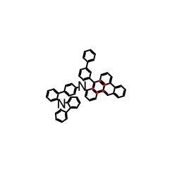 c1ccc(-c2ccc(N(c3ccc(-c4ccccc4-n4c5ccccc5c5ccccc54)cc3)c3cccc(-c4cc5ccccc5c5ccccc45)c3)c(-c3ccccc3)c2)cc1